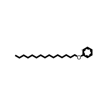 CCCCCCCCCCCCCCCOc1[c]cccc1